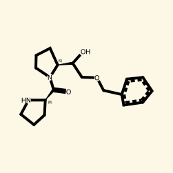 O=C([C@H]1CCCN1)N1CCC[C@H]1C(O)COCc1ccccc1